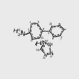 Nc1ccc(-c2ccccc2)cc1.c1nnn[nH]1